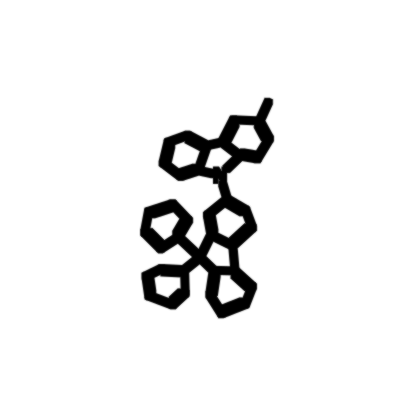 Cc1ccc2c(c1)c1ccccc1n2-c1ccc2c(c1)C(c1ccccc1)(c1ccccc1)c1ccccc1-2